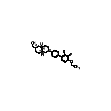 CCOc1ccc(-c2ccc([C@@H]3CC[C@@H]4CC(CC)CC[C@@H]4C3)cc2)c(F)c1F